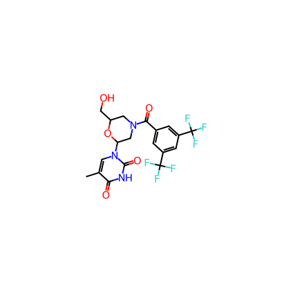 Cc1cn(C2CN(C(=O)c3cc(C(F)(F)F)cc(C(F)(F)F)c3)CC(CO)O2)c(=O)[nH]c1=O